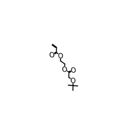 C=CC(=O)OCCOC(=O)COC(C)(C)C